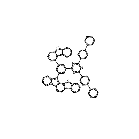 c1ccc(-c2ccc(-c3nc(-c4ccc(-c5ccccc5)cc4)nc(-c4cc(-c5cccc6oc7ccccc7c56)cc(-n5c6ccccc6c6ccc7c8ccccc8sc7c65)c4)n3)cc2)cc1